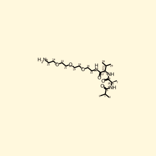 CC(C)C(=O)N[C@H](C)C(=O)N[C@@H](C(=O)NCCOCCOCCOCCN)C(C)C